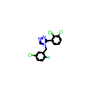 Fc1ccc(Cl)cc1Cn1cnnc1-c1cccc(Cl)c1Cl